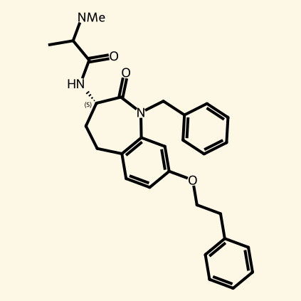 CNC(C)C(=O)N[C@H]1CCc2ccc(OCCc3ccccc3)cc2N(Cc2ccccc2)C1=O